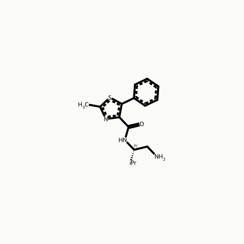 Cc1nc(C(=O)N[C@H](CN)C(C)C)c(-c2ccccc2)s1